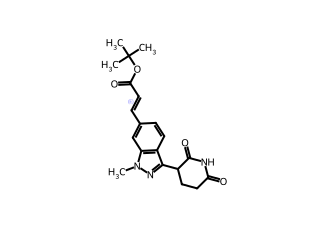 Cn1nc(C2CCC(=O)NC2=O)c2ccc(/C=C/C(=O)OC(C)(C)C)cc21